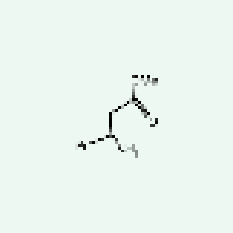 COC(=O)CC(C)C(C)C